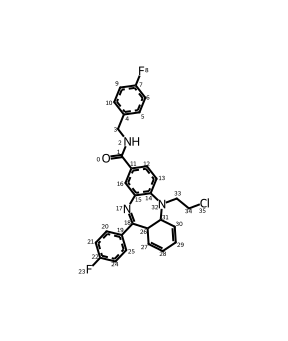 O=C(NCc1ccc(F)cc1)c1ccc2c(c1)N=C(c1ccc(F)cc1)C1C=CC=CC1N2CCCl